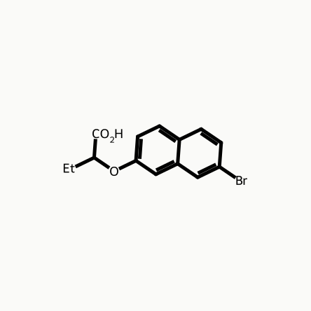 CCC(Oc1ccc2ccc(Br)cc2c1)C(=O)O